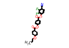 CCCOC1CCC(C(=O)Oc2ccc(C(=O)Oc3ccc(C#N)c(F)c3F)cc2)CC1